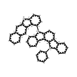 c1ccc(-n2c3ccccc3c3ccc4c(c5ccccc5n4-c4cccc5oc6cc7ccccc7cc6c45)c32)cc1